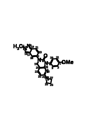 COc1ccc(N2C(=O)N(c3ccc4nn(C)cc4c3)Cc3ccc(N4CCC4)nc32)cc1